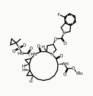 CC(C)(C)OC(=O)N[C@H]1CCCCC[C@@H]2C[C@@H]2[C@@H]2C[C@@]2(C(=O)NS(=O)(=O)C2(C)CC2)NC(=O)[C@@H]2C[C@@H](OC(=O)N3Cc4cccc(F)c4C3)CN2C1=O